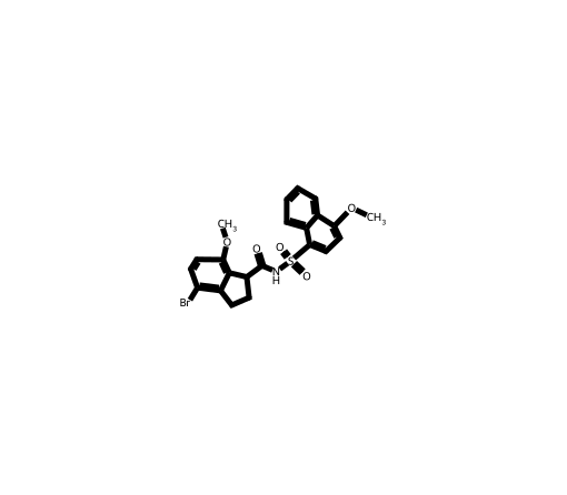 COc1ccc(Br)c2c1C(C(=O)NS(=O)(=O)c1ccc(OC)c3ccccc13)CC2